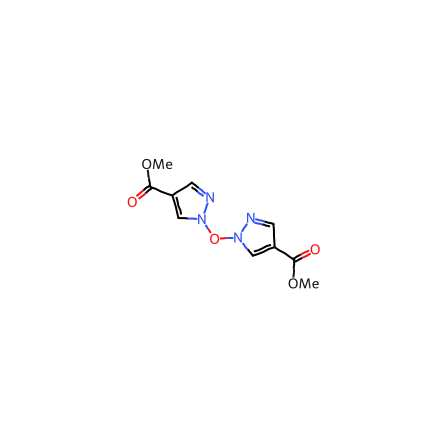 COC(=O)c1cnn(On2cc(C(=O)OC)cn2)c1